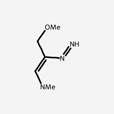 CN/C=C(/COC)N=N